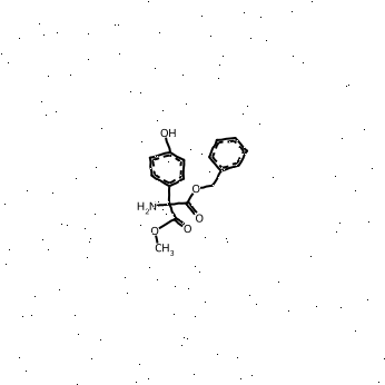 COC(=O)C(N)(C(=O)OCc1ccccc1)c1ccc(O)cc1